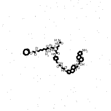 CC(C)[C@H](NC(=O)[C@H](N)CCCCNC(=O)COC1C#CCCCCC1)C(=O)N[C@@H](CCCNC(N)=O)C(=O)Nc1ccc(COC(=O)NCC(=O)Nc2ccc3c(c2)[C@@]2(C)CCC[C@](C)(C(=O)NC(O)[C@@]4(C)CCC[C@]5(C)c6cc(N)ccc6CC[C@H]54)[C@@H]2CC3)cc1